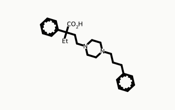 CCC(CCN1CCN(CCCc2ccccc2)CC1)(C(=O)O)c1ccccc1